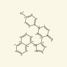 O=c1ccn(-c2ccc(Cl)cc2)nc1-c1ccnn1-c1cccc2ccccc12